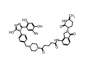 C=C1CCC(N2Cc3c(NC(=O)CCCC(=O)N4CCN(Cc5ccc(-n6c(O)nnc6-c6cc(C(C)C)c(O)cc6O)cc5)CC4)cccc3C2=O)C(=O)N1